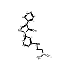 CN(C)CCNc1cnnc(-n2[nH]cc(-c3cccnc3)c2=O)c1